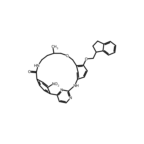 CC1CCNC(=O)c2ccc(c([N+](=O)[O-])c2)-c2ccnc(n2)Nc2ccc(OCC3CCc4ccccc43)c(c2)COC1